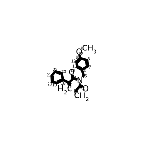 C=CC(=O)N(Cc1ccc(OC)cc1)C(=O)C(=C)c1ccccc1